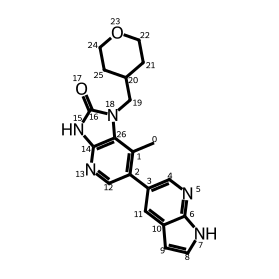 Cc1c(-c2cnc3[nH]ccc3c2)cnc2[nH]c(=O)n(CC3CCOCC3)c12